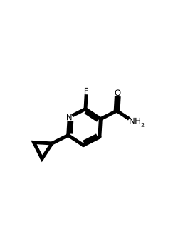 NC(=O)c1ccc(C2CC2)nc1F